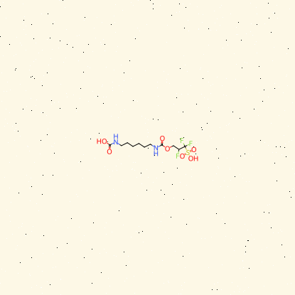 O=C(O)NCCCCCCNC(=O)OCC(F)C(F)(F)S(=O)(=O)O